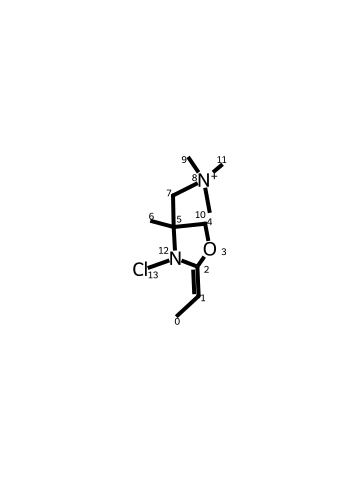 CC=C1OCC(C)(C[N+](C)(C)C)N1Cl